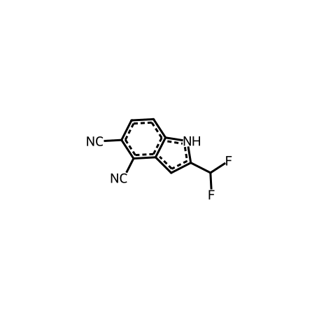 N#Cc1ccc2[nH]c(C(F)F)cc2c1C#N